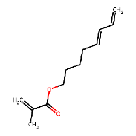 C=CC=CCCCCOC(=O)C(=C)C